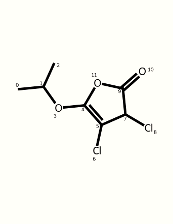 CC(C)OC1=C(Cl)C(Cl)C(=O)O1